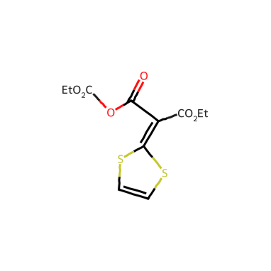 CCOC(=O)OC(=O)C(C(=O)OCC)=C1SC=CS1